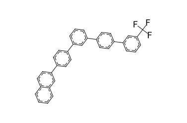 FC(F)(F)c1cccc(-c2ccc(-c3cccc(-c4ccc(-c5ccc6ccccc6c5)cc4)c3)cc2)c1